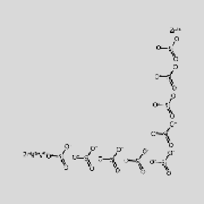 O=[Si]([O-])[O-].O=[Si]([O-])[O-].O=[Si]([O-])[O-].O=[Si]([O-])[O-].O=[Si]([O-])[O-].O=[Si]([O-])[O-].O=[Si]([O-])[O-].O=[Si]([O-])[O-].O=[Si]([O-])[O-].[V+5].[V+5].[Zr+4].[Zr+4]